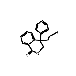 O=C1OCC(CCI)(c2ccccc2)c2ccccc21